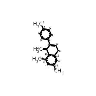 C=C1C(c2ccc(C)cc2)=CCc2cc(C)cc(C)c21